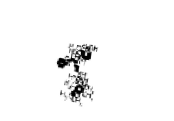 Cc1c(C)c(S(=O)(=O)NC(=N)NCCC[C@H](NC(=O)[C@H]2CCCN(C(=O)O)C2C(C)(C)C)C(=O)c2nc3ccccc3s2)c(C)c2c1OC(C)(C)C2